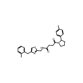 Cc1ccc(C2CCCN2C(=O)CCC(=O)NCc2nc(Cc3ccccc3C)cs2)cc1